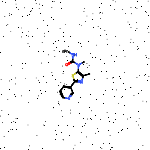 CCCNC(=O)N(C)c1sc(-c2cccnc2)nc1C